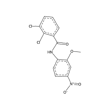 COc1cc([N+](=O)[O-])ccc1NC(=O)c1cccc(Cl)c1Cl